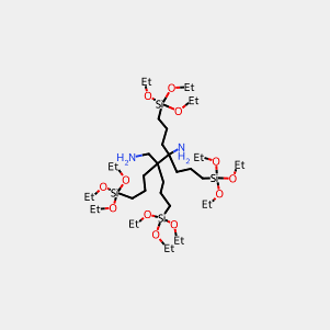 CCO[Si](CCCC(N)(CCC[Si](OCC)(OCC)OCC)C(CN)(CCC[Si](OCC)(OCC)OCC)CCC[Si](OCC)(OCC)OCC)(OCC)OCC